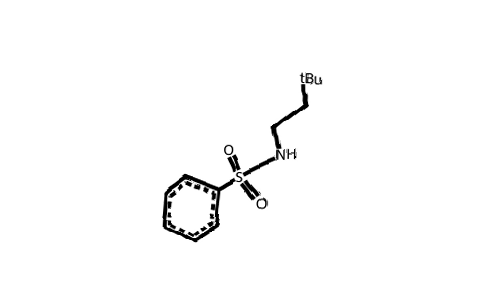 CC(C)(C)CCNS(=O)(=O)c1ccccc1